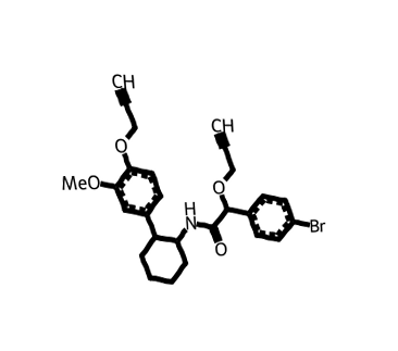 C#CCOc1ccc(C2CCCCC2NC(=O)C(OCC#C)c2ccc(Br)cc2)cc1OC